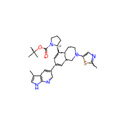 Cc1ncc(N2CCC3C([C@@H]4CCCN4C(=O)OC(C)(C)C)=CC(c4cnc5[nH]cc(C)c5c4)=CC3C2)s1